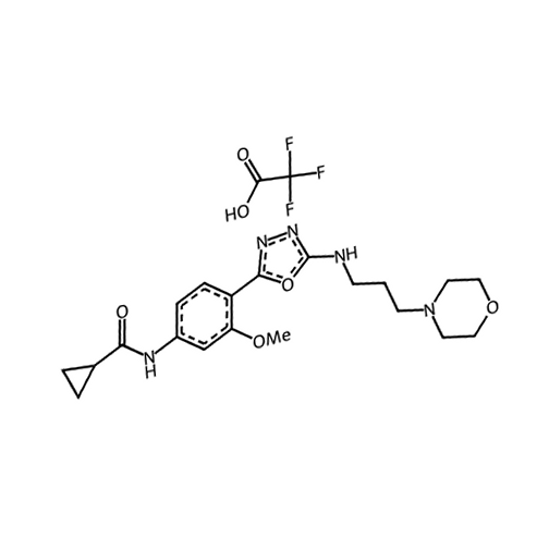 COc1cc(NC(=O)C2CC2)ccc1-c1nnc(NCCCN2CCOCC2)o1.O=C(O)C(F)(F)F